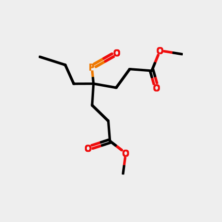 CCCC(CCC(=O)OC)(CCC(=O)OC)P=O